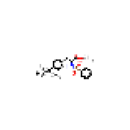 COC(=O)[C@H](Cc1ccc(C(C)(C)C)cc1)NS(=O)(=O)c1ccccc1